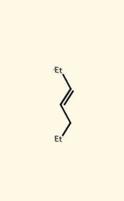 [CH2]CC/C=C/[CH]C